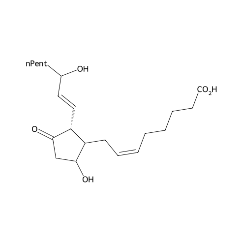 CCCCCC(O)/C=C/[C@H]1C(=O)CC(O)C1C/C=C\CCCCC(=O)O